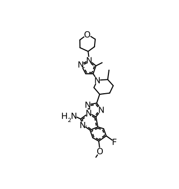 COc1cc2nc(N)n3nc(C4CCC(C)N(c5cnn(C6CCOCC6)c5C)C4)nc3c2cc1F